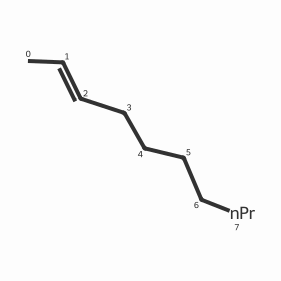 C/C=[C]/CCCCCCC